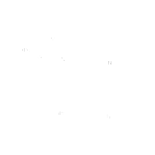 CC(C)c1ccc2c(c1)C(c1cc(C(C)C)cc3c1N(C)CCC3)CCN2C(=O)OC(C)(C)C